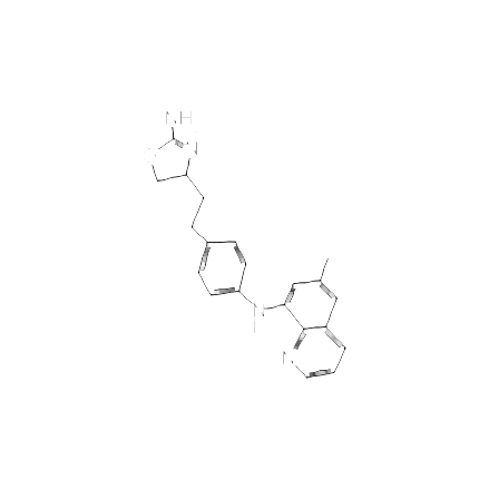 Cc1cc(Nc2ccc(CCC3COC(N)=N3)cc2)c2ncccc2c1